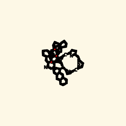 C1=Cc2cc3c(-c4cccc5cc6ccccc6cc45)c(-c4cccc5cc6ccccc6cc45)c(c(-c4cccc5cc6ccccc6cc45)c4nc(cc5ccc(cc1n2)[nH]5)C=C4)n3-c1cccc2cc3ccccc3cc12.[Ni]